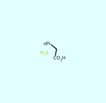 CCCCC(=O)O.S